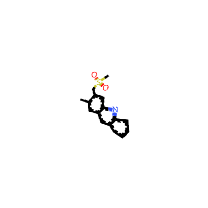 Cc1cc2cc3ccccc3nc2cc1CS(C)(=O)=O